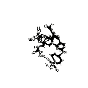 CC(C)(C)OC(=O)NCC(C)(CN1c2nc(NC3CCN(S(C)(=O)=O)CC3)ncc2C=C(C(F)F)C1O)O[Si](C)(C)C(C)(C)C